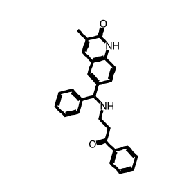 Cc1cc2cc(C(NCCC(=O)c3ccccc3)c3ccccc3)ccc2[nH]c1=O